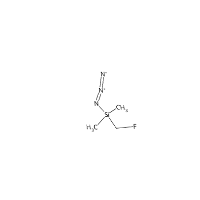 C[Si](C)(CF)N=[N+]=[N-]